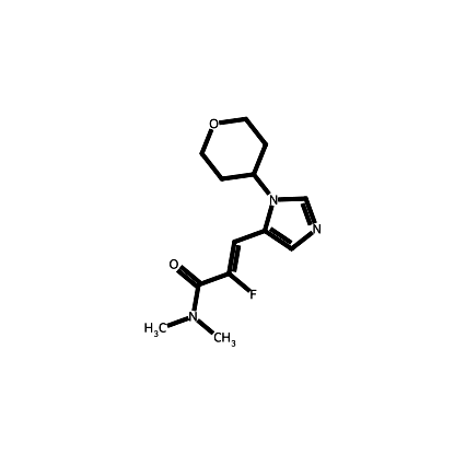 CN(C)C(=O)/C(F)=C/c1cncn1C1CCOCC1